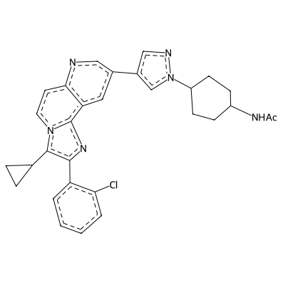 CC(=O)NC1CCC(n2cc(-c3cnc4ccn5c(C6CC6)c(-c6ccccc6Cl)nc5c4c3)cn2)CC1